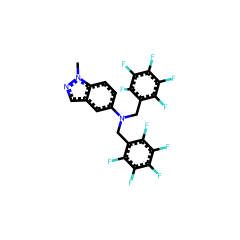 Cn1ncc2cc(N(Cc3c(F)c(F)c(F)c(F)c3F)Cc3c(F)c(F)c(F)c(F)c3F)ccc21